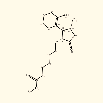 COC(=O)CCCCCC[C@H]1C(=O)C[C@@H](O)[C@@H]1C1=C(O)CCCC1